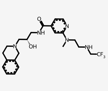 CN(CCNCC(F)(F)F)c1cc(C(=O)NC[C@H](O)CN2CCc3ccccc3C2)ccn1